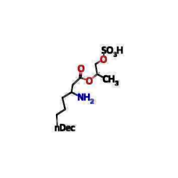 CCCCCCCCCCCCCC(N)CC(=O)OC(C)COS(=O)(=O)O